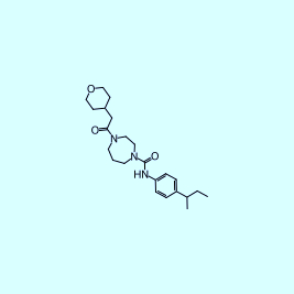 CCC(C)c1ccc(NC(=O)N2CCCN(C(=O)CC3CCOCC3)CC2)cc1